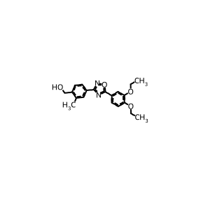 CCOc1ccc(-c2nc(-c3ccc(CO)c(C)c3)no2)cc1OCC